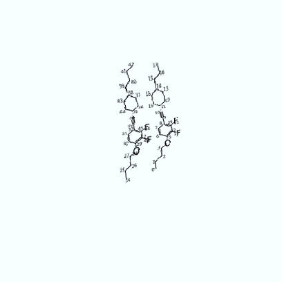 CCCCOc1ccc(C#C[C@H]2CC[C@H](CCC)CC2)c(F)c1F.CCCCOc1ccc(C#C[C@H]2CC[C@H](CCCC)CC2)c(F)c1F